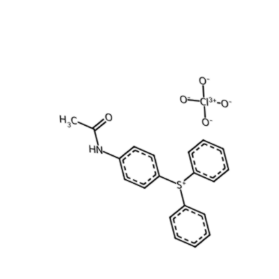 CC(=O)Nc1ccc([S+](c2ccccc2)c2ccccc2)cc1.[O-][Cl+3]([O-])([O-])[O-]